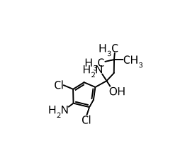 CC(C)(C)CC(N)(O)c1cc(Cl)c(N)c(Cl)c1